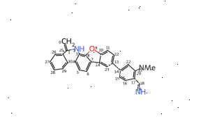 C=C(Nc1cccc2c1oc1ccc(-c3ccc(C=N)c(NC)c3)cc12)c1ccccc1